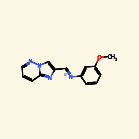 COc1cccc(/N=C/c2cn3ncccc3n2)c1